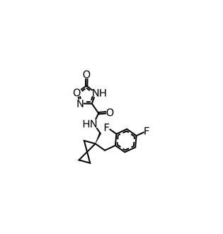 O=C(NC[C@]1(Cc2ccc(F)cc2F)CC12CC2)c1noc(=O)[nH]1